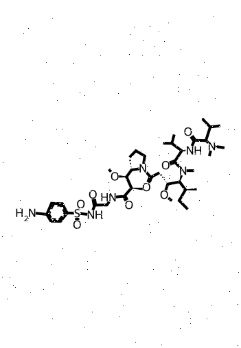 CC[C@H](C)[C@@H]([C@@H](CC(=O)N1CCC[C@H]1[C@H](OC)[C@@H](C)C(=O)NCC(=O)NS(=O)(=O)c1ccc(N)cc1)OC)N(C)C(=O)[C@@H](NC(=O)C(C(C)C)N(C)C)C(C)C